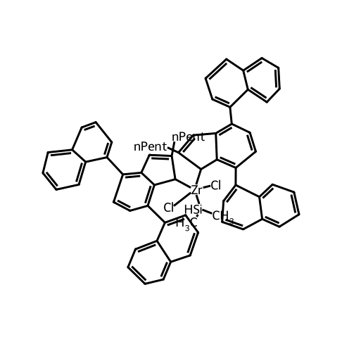 CCCCCC1=Cc2c(-c3cccc4ccccc34)ccc(-c3cccc4ccccc34)c2[CH]1[Zr]([Cl])([Cl])([CH]1C(CCCCC)=Cc2c(-c3cccc4ccccc34)ccc(-c3cccc4ccccc34)c21)[SiH](C)C